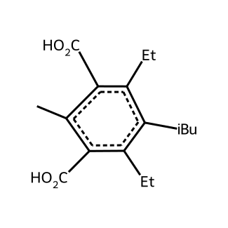 CCc1c(C(=O)O)c(C)c(C(=O)O)c(CC)c1C(C)CC